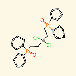 O=P(C[CH2][Ni]([Cl])([Cl])[CH2]CP(=O)(c1ccccc1)c1ccccc1)(c1ccccc1)c1ccccc1